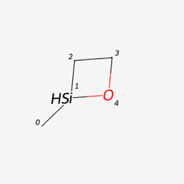 C[SiH]1CCO1